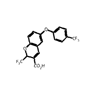 O=C(O)C1=Cc2cc(Oc3ccc(C(F)(F)F)cc3)ccc2OC1C(F)(F)F